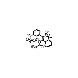 CN(c1cccc(C2=C(OC(=O)C(C)(C)C)c3ncccc3C(C)(C)[S+]2[O-])c1Cl)S(C)(=O)=O